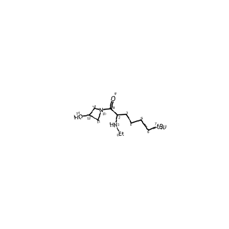 CCNC(CCCCC(C)(C)C)C(=O)N1CC(O)C1